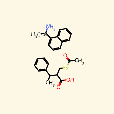 CC(=O)SCC(C(=O)O)C(C)c1ccccc1.C[C@@H](N)c1cccc2ccccc12